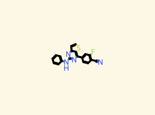 N#Cc1ccc(-c2nc(Nc3ccccc3)nc3ccsc23)cc1F